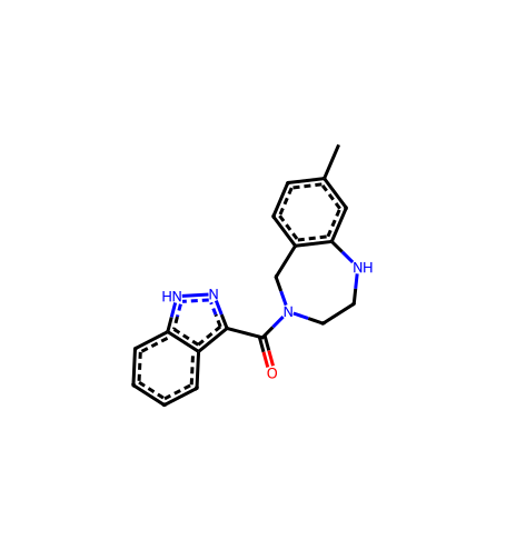 Cc1ccc2c(c1)NCCN(C(=O)c1n[nH]c3ccccc13)C2